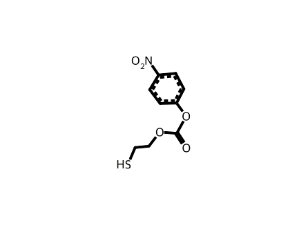 O=C(OCCS)Oc1ccc([N+](=O)[O-])cc1